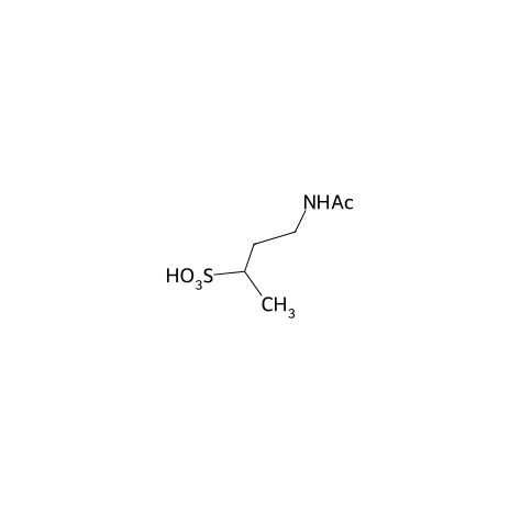 CC(=O)NCCC(C)S(=O)(=O)O